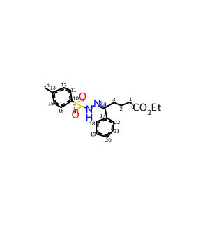 CCOC(=O)CCC/C(=N/NS(=O)(=O)c1ccc(C)cc1)c1ccccc1